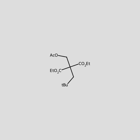 CCOC(=O)C(COC(C)=O)(CC(C)(C)C)C(=O)OCC